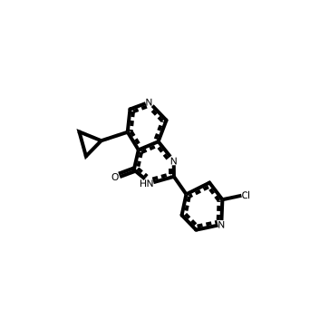 O=c1[nH]c(-c2ccnc(Cl)c2)nc2cncc(C3CC3)c12